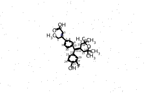 CC/C(=C\C(=O)O)c1ccc(C(=C2CC(C)(C)OC(C)(C)C2)c2ccc(O)c(F)c2)cc1